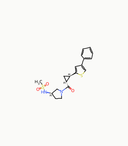 CS(=O)(=O)N[C@@H]1CCN(C(=O)[C@@H]2C[C@H]2c2cc(-c3ccccc3)cs2)C1